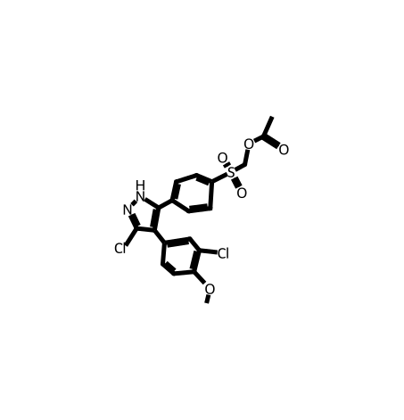 COc1ccc(-c2c(Cl)n[nH]c2-c2ccc(S(=O)(=O)COC(C)=O)cc2)cc1Cl